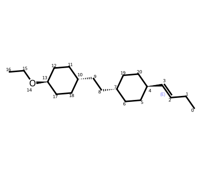 CC/C=C/[C@H]1CC[C@H](CC[C@H]2CC[C@H](OCC)CC2)CC1